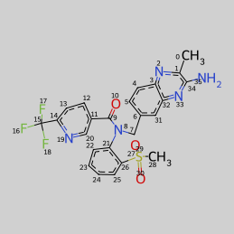 Cc1nc2ccc(CN(C(=O)c3ccc(C(F)(F)F)nc3)c3ccccc3S(C)(=O)=O)cc2nc1N